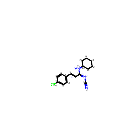 N#C/N=C(\C=C\c1ccc(Cl)cc1)NC1CCCCC1